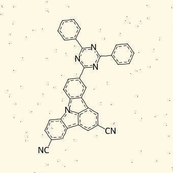 N#Cc1ccc2c(c1)c1cc(C#N)cc3c4cc(-c5nc(-c6ccccc6)nc(-c6ccccc6)n5)ccc4n2c13